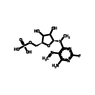 C=Nc1c(N)nc(F)nc1N(C)[C@@H]1O[C@H](COP(=O)(O)O)C(O)C1O